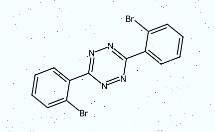 Brc1ccccc1-c1nnc(-c2ccccc2Br)nn1